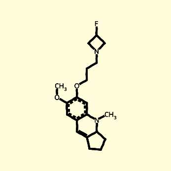 COc1cc2c(cc1OCCCN1CC(F)C1)N(C)C1CCCC1=C2